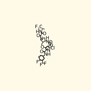 CC(NC(=O)C(=O)N1CC2COc3c(c(Cl)n(C)c3C(=O)Nc3ccc(F)c(C(F)F)c3)S(=O)(=O)NC2C1)C(F)(F)F